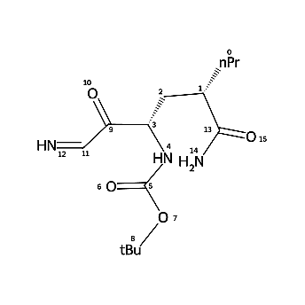 CCC[C@@H](C[C@H](NC(=O)OC(C)(C)C)C(=O)C=N)C(N)=O